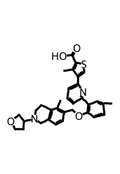 Cc1ccc(OCc2ccc3c(c2C)CCN(C2CCOC2)C3)c(-c2cccc(-c3csc(C(=O)O)c3C)n2)c1